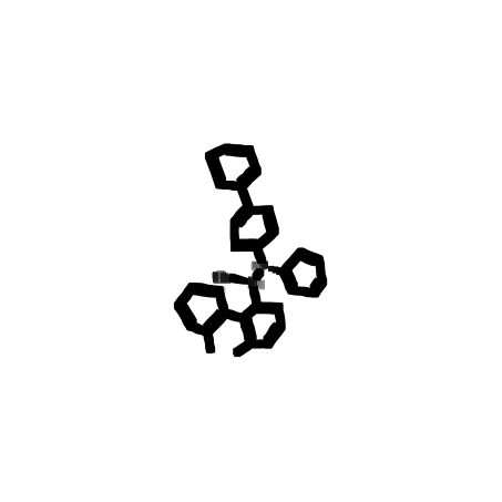 Cc1ccc[c]c1-c1c(C)cccc1[P@]([P@@](c1ccccc1)c1ccc(-c2ccccc2)cc1)C(C)(C)C